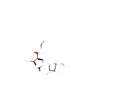 CCOC(=O)c1cn([C@@H]2O[C@H](CO)[C@@H](O)[C@H]2C)c(=O)nc1N